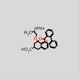 CCCCCC[C@H](C)COC1(OC(=O)c2ccccc2-c2ccccc2)CC(C(=O)O)Cc2ccccc21